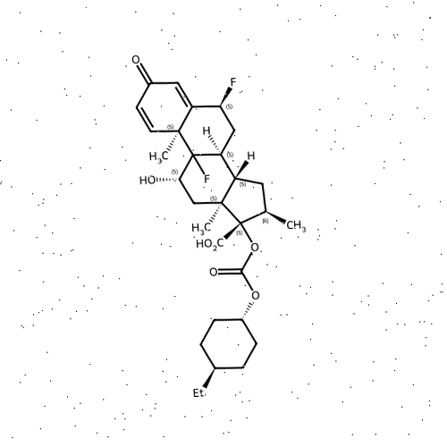 CC[C@H]1CC[C@H](OC(=O)O[C@@]2(C(=O)O)[C@H](C)C[C@H]3[C@@H]4C[C@H](F)C5=CC(=O)C=C[C@]5(C)C4(F)[C@@H](O)C[C@@]32C)CC1